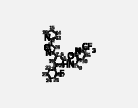 C[C@@H](NC(=O)c1cc(C2=NOC(c3ccccn3)C2)cc(-c2ccccc2F)c1)c1ccc(C(F)(F)F)nc1